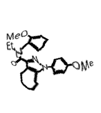 CCN(C(=O)c1nn(-c2ccc(OC)cc2)c2c1CCCC2)c1ccccc1OC